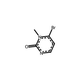 Cn1c(Br)ccnc1=O